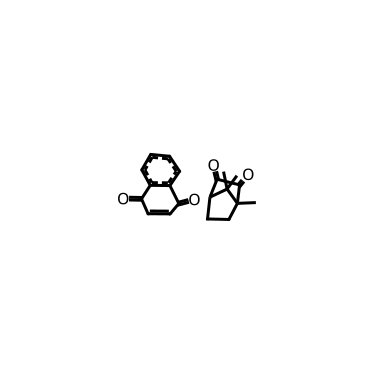 CC12CCC(C(=O)C1=O)C2(C)C.O=C1C=CC(=O)c2ccccc21